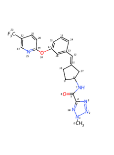 Cn1nnc(C(=O)NC2CCC(=Cc3cccc(Oc4ccc(C(F)(F)F)cn4)c3)C2)n1